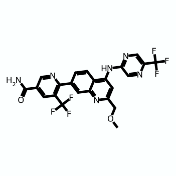 COCc1cc(Nc2cnc(C(F)(F)F)cn2)c2ccc(-c3ncc(C(N)=O)cc3C(F)(F)F)cc2n1